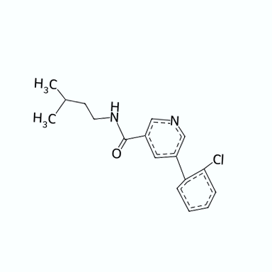 CC(C)CCNC(=O)c1cncc(-c2ccccc2Cl)c1